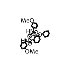 COc1cccc(NS(=O)(=O)c2[c]ccc(Oc3cc[c]cc3)c2S(=O)(=O)Nc2cccc(OC)c2)c1